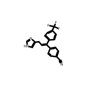 N#Cc1ccc(/C(=C/Cc2c[nH]cn2)c2ccc(C(F)(F)F)cc2)cc1